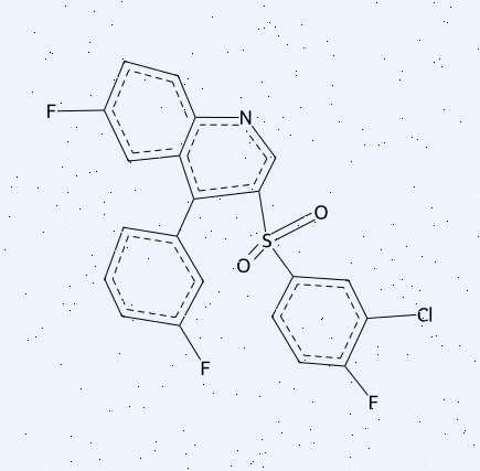 O=S(=O)(c1ccc(F)c(Cl)c1)c1cnc2ccc(F)cc2c1-c1cccc(F)c1